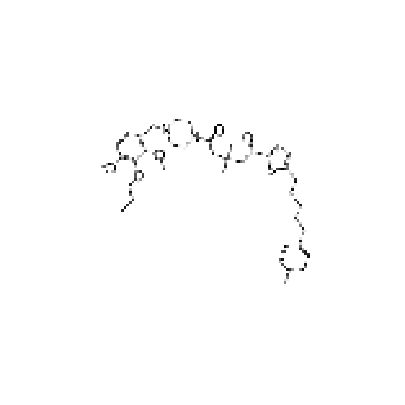 CCCOc1c(OC)ccc(CN2CCN(C(=O)CC(C)(C)CC(=O)c3ccc(CCCCCc4ccc(C)cc4)s3)CC2)c1OC